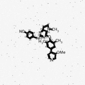 COc1cnccc1-c1cc(C)c(Oc2nc(Nc3ccc(C#N)cc3)nc3ccn(C)c23)c(C)c1